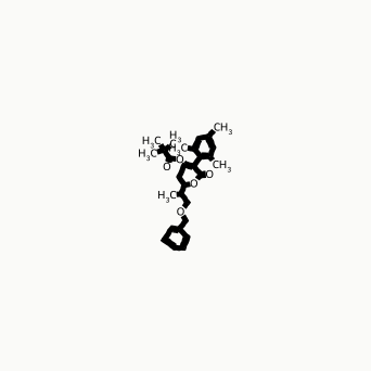 Cc1cc(C)c(C2=C(OC(=O)C(C)(C)C)CC(C(C)COCc3ccccc3)OC2=O)c(C)c1